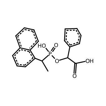 CC(c1cccc2ccccc12)P(=O)(O)OC(C(=O)O)c1ccccc1